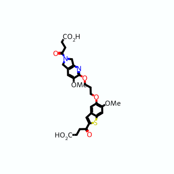 COc1cc2sc(C(=O)CCC(=O)O)cc2cc1OCCCOc1nc2c(cc1OC)CN(C(=O)CCC(=O)O)C2